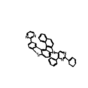 C1=CCCC(c2ncc(-n3c4ccc5ccccc5c4c4c5c(ccc43)sc3ccc(-c4ncccn4)cc35)c(-c3ccccc3)n2)=C1